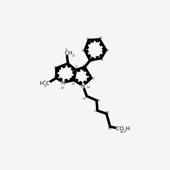 Cc1cc(C)c2c(-c3ccccc3)cn(CCCCCC(=O)O)c2n1